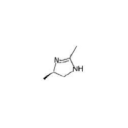 CC1=N[C@H](C)CN1